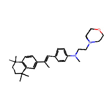 C/C(=C\c1ccc(N(C)CCN2CCOCC2)cc1)c1ccc2c(c1)C(C)(C)CCC2(C)C